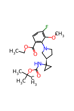 CCOC(=O)c1ccc(F)c(OC)c1N1CC[C@@H](C2(NC(=O)OC(C)(C)C)CC2)C1